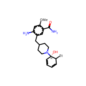 CCC1C=CC=C[C@@]1(O)N1CCC(Cc2cc(C(N)=O)c(OC)cc2N)CC1